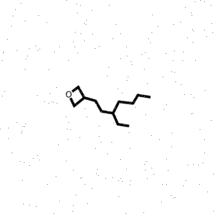 CCCCC(CC)CCC1COC1